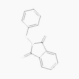 O=C1c2ccccc2C(=O)N1[Se]c1ccccc1